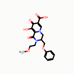 COCCN1C(=O)c2c(O)c(=O)c(C(=O)O)cn2CC1COc1ccccc1